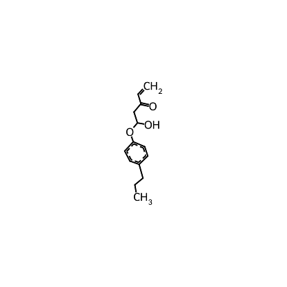 C=CC(=O)CC(O)Oc1ccc(CCC)cc1